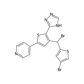 Brc1csc(C(Br)c2cc(-c3ccncc3)sc2-c2nnc[nH]2)c1